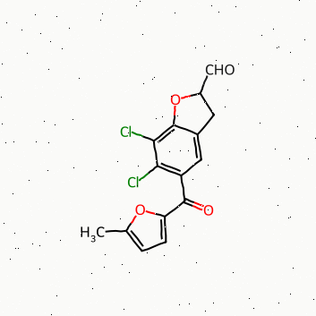 Cc1ccc(C(=O)c2cc3c(c(Cl)c2Cl)OC(C=O)C3)o1